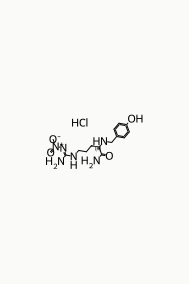 Cl.NC(=O)[C@@H](CCCNC(N)=N[N+](=O)[O-])NCc1ccc(O)cc1